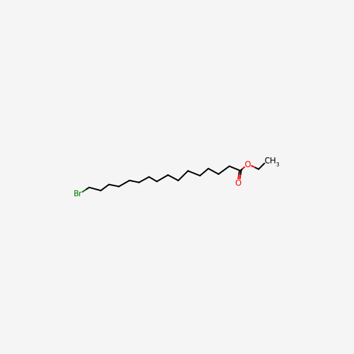 CCOC(=O)CCCCCCCCCCCCCCCBr